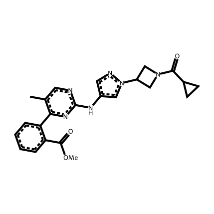 COC(=O)c1ccccc1-c1nc(Nc2cnn(C3CN(C(=O)C4CC4)C3)c2)ncc1C